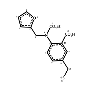 CCOC(=O)N(Cc1ccco1)c1ccc(CS)cc1C(=O)O